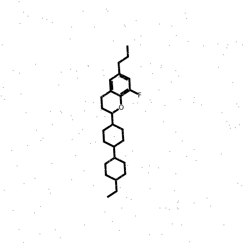 CCCc1cc(F)c2c(c1)CCC(C1CCC(C3CCC(CC)CC3)CC1)O2